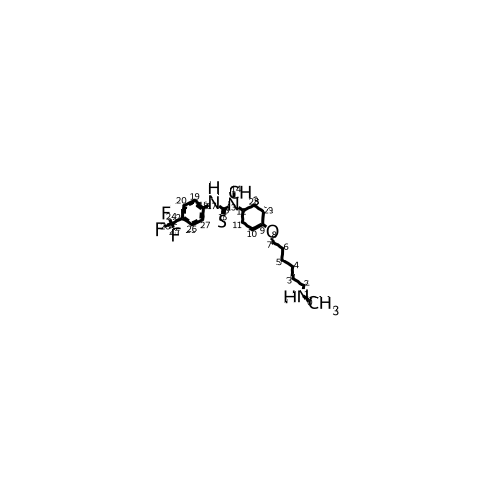 CNCCCCCCOC1CCC(N(C)C(=S)Nc2ccc(C(F)(F)F)cc2)CC1